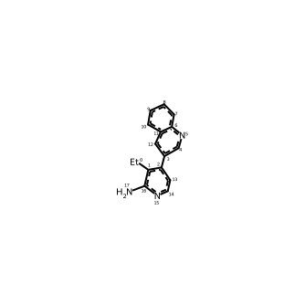 CCc1c(-c2cnc3ccccc3c2)ccnc1N